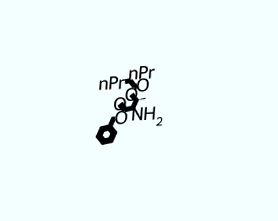 CCCC(CCC)C(=O)O[C@H](C)[C@H](N)C(=O)OCc1ccccc1